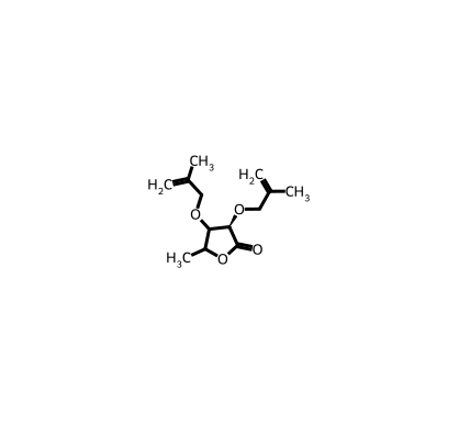 C=C(C)COC1C(C)OC(=O)[C@@H]1OCC(=C)C